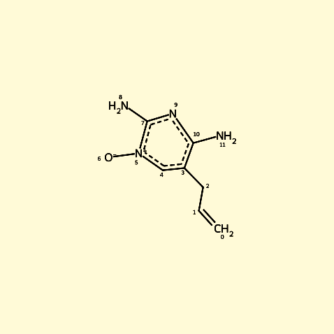 C=CCc1c[n+]([O-])c(N)nc1N